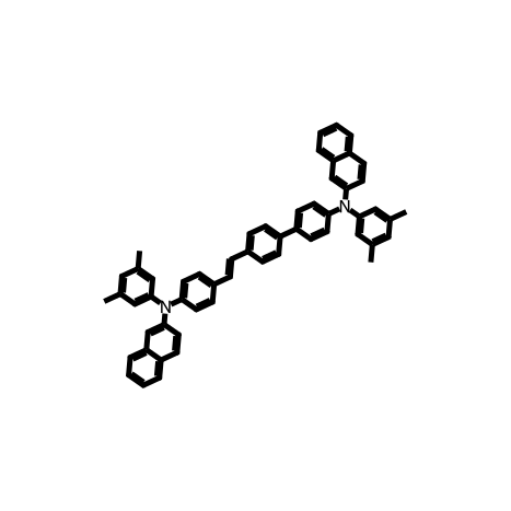 Cc1cc(C)cc(N(c2ccc(/C=C/c3ccc(-c4ccc(N(c5cc(C)cc(C)c5)c5ccc6ccccc6c5)cc4)cc3)cc2)c2ccc3ccccc3c2)c1